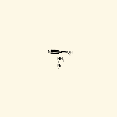 N.N#CO.[Ni]